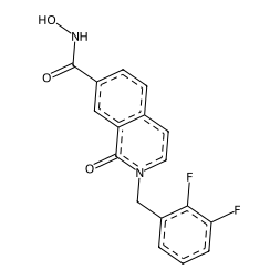 O=C(NO)c1ccc2ccn(Cc3cccc(F)c3F)c(=O)c2c1